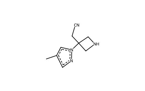 Cc1cnn(C2(CC#N)CNC2)c1